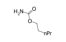 CCCCCOC(N)=O